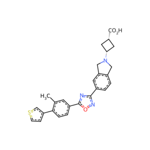 Cc1cc(-c2nc(-c3ccc4c(c3)CN([C@H]3C[C@@H](C(=O)O)C3)C4)no2)ccc1-c1ccsc1